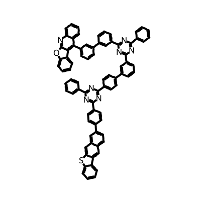 c1ccc(-c2nc(-c3ccc(-c4cccc(-c5nc(-c6ccccc6)nc(-c6cccc(-c7cccc(-c8c9ccccc9nc9oc%10ccccc%10c89)c7)c6)n5)c4)cc3)nc(-c3ccc(-c4ccc5cc6c(cc5c4)sc4ccccc46)cc3)n2)cc1